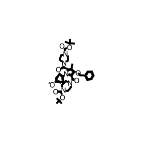 COc1ccc(-n2c(C(=O)N3CCN(C(=O)OC(C)(C)C)CC3)c(C)c(OCc3ccccc3)c2C(=O)N2CCN(C(=O)OC(C)(C)C)CC2)cc1